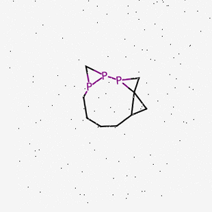 C1CCP2CP2P2CC23CC3C1